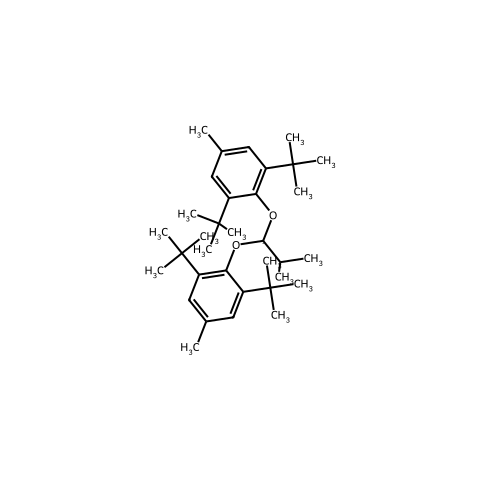 Cc1cc(C(C)(C)C)c(O[C](Oc2c(C(C)(C)C)cc(C)cc2C(C)(C)C)C(C)C)c(C(C)(C)C)c1